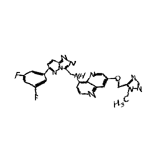 Cn1ncnc1COc1cnc2c(NCc3nnc4ccc(-c5cc(F)cc(F)c5)nn34)ccnc2c1